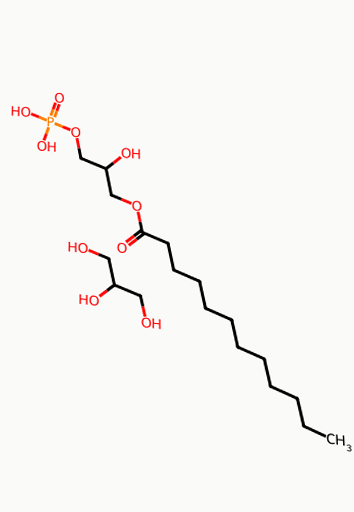 CCCCCCCCCCCC(=O)OCC(O)COP(=O)(O)O.OCC(O)CO